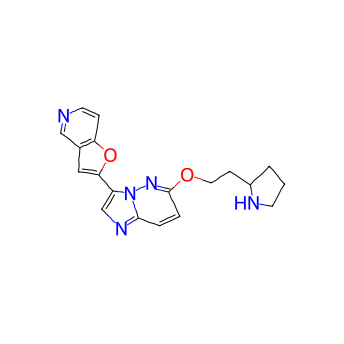 c1cc2oc(-c3cnc4ccc(OCCC5CCCN5)nn34)cc2cn1